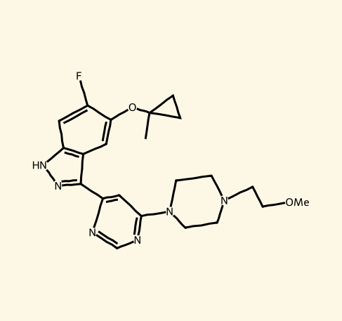 COCCN1CCN(c2cc(-c3n[nH]c4cc(F)c(OC5(C)CC5)cc34)ncn2)CC1